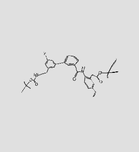 C=Cc1ccc(NC(=O)c2cccc(-c3cc(F)cc(CNC(=O)OC(C)(C)C)c3)c2)c(CC(=O)OC(C)(C)C)c1